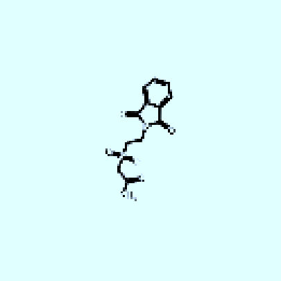 NC(=O)CS(=O)(=O)CCN1C(=O)c2ccccc2C1=O